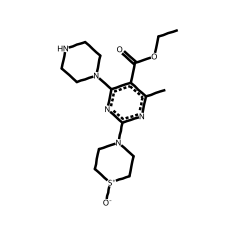 CCOC(=O)c1c(C)nc(N2CC[S+]([O-])CC2)nc1N1CCNCC1